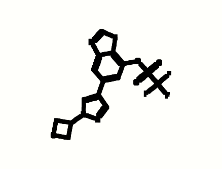 O=S(=O)(Oc1cc(-c2cnn(C3COC3)c2)cc2ncsc12)C(F)(F)F